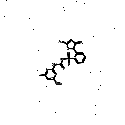 COc1cc(C)nc(NC(=O)NS(=O)(=O)c2ccccc2C2OC(C(C)=O)=CC2=O)n1